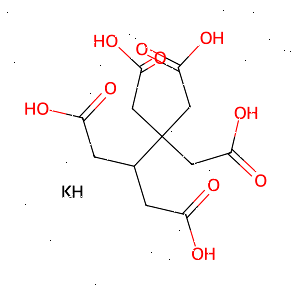 O=C(O)CC(CC(=O)O)C(CC(=O)O)(CC(=O)O)CC(=O)O.[KH]